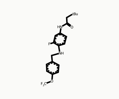 CC(C)(C)CC(=O)Nc1ccc(NCc2ccc(OC(F)(F)F)cc2)c(F)c1